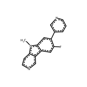 Cn1c2ccncc2c2cc(F)c(-c3cccnc3)cc21